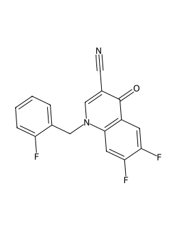 N#Cc1cn(Cc2ccccc2F)c2cc(F)c(F)cc2c1=O